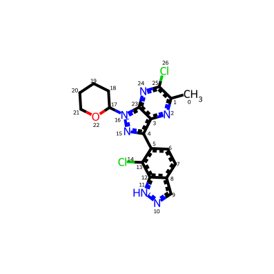 Cc1nc2c(-c3ccc4cn[nH]c4c3Cl)nn(C3CCCCO3)c2nc1Cl